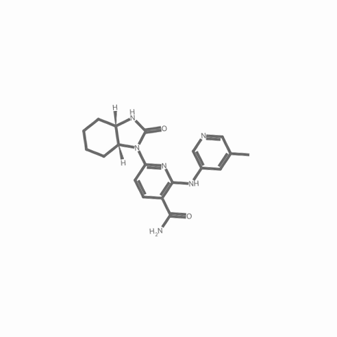 Cc1cncc(Nc2nc(N3C(=O)N[C@H]4CCCC[C@H]43)ccc2C(N)=O)c1